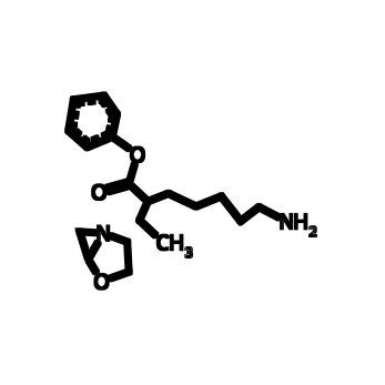 C1CN2CC2O1.CCC(CCCCCN)C(=O)Oc1ccccc1